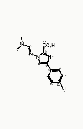 CN(C)/C=N/n1cc(-c2ccc(Cl)cc2)nc1C(=O)O